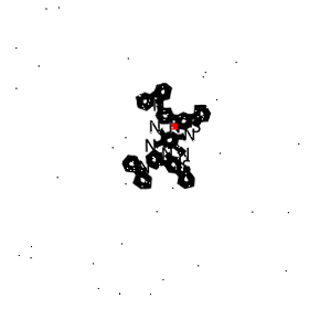 N#Cc1c(C#N)c(-n2c3ccc(-n4c5ccccc5c5ccccc54)cc3c3cc4c(cc32)sc2ccccc24)c(C#N)c(C#N)c1-n1c2ccc(-n3c4ccccc4c4ccccc43)cc2c2cc3c(cc21)sc1ccccc13